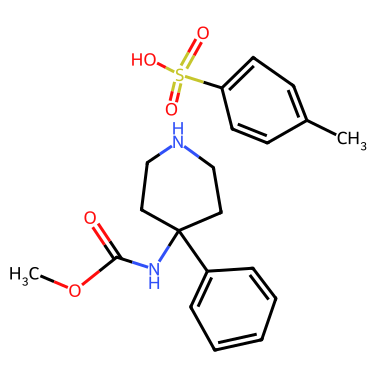 COC(=O)NC1(c2ccccc2)CCNCC1.Cc1ccc(S(=O)(=O)O)cc1